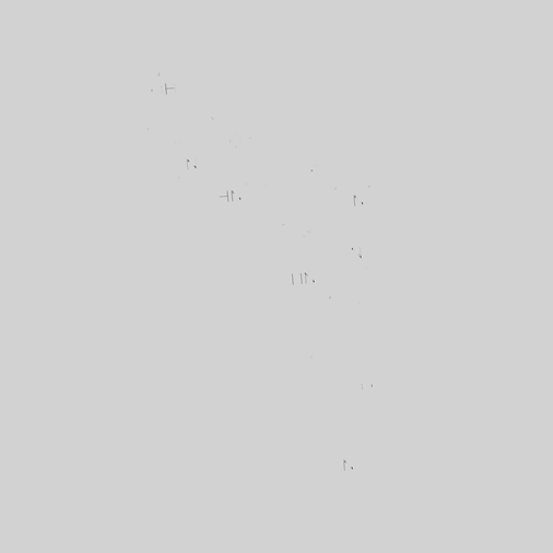 Cc1ccc(Oc2ccc(Nc3ncnc4ccc(NC5=N[C@H](CO)CO5)cc34)cc2C)cn1